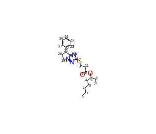 CCCCCC(CC)OC(=O)CCSc1nc2n(n1)CCC2c1ccccc1